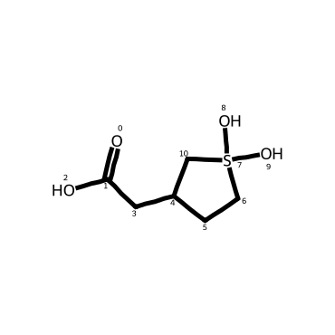 O=C(O)CC1CCS(O)(O)C1